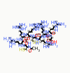 CC(=O)N[C@@H](CS)C(=O)N[C@@H](CCCNC(=N)N)C(=O)N[C@@H](CCCNC(=N)N)C(=O)N[C@@H](CCCNC(=N)N)C(=O)N[C@@H](CS)C(=O)N[C@@H](CCCNC(=N)N)C(=O)N[C@@H](CCCNC(=N)N)C(=O)N[C@@H](CCCNC(=N)N)C(=O)NCC(=O)O